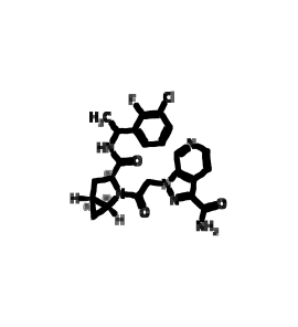 CC(NC(=O)[C@@H]1C[C@H]2C[C@H]2N1C(=O)Cn1nc(C(N)=O)c2ccncc21)c1cccc(Cl)c1F